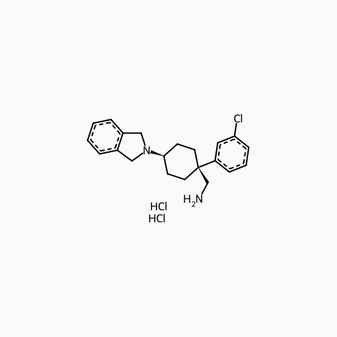 Cl.Cl.NC[C@]1(c2cccc(Cl)c2)CC[C@H](N2Cc3ccccc3C2)CC1